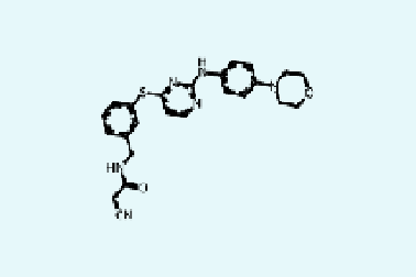 N#CCC(=O)NCc1cccc(Sc2ccnc(Nc3ccc(N4CCOCC4)cc3)n2)c1